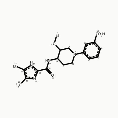 CCOC1CN(c2cccc(C(=O)O)c2)CCC1NC(=O)c1nc(C(F)(F)F)c(CC)[nH]1